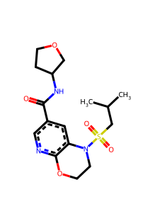 CC(C)CS(=O)(=O)N1CCOc2ncc(C(=O)NC3CCOC3)cc21